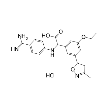 CCOc1cc(C2CC(C)=NO2)cc(C(Nc2ccc(C(=N)N)cc2)C(=O)O)c1.Cl